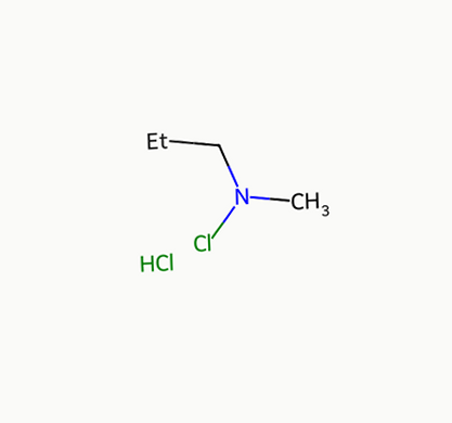 CCCN(C)Cl.Cl